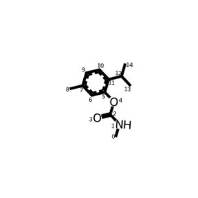 CNC(=O)Oc1cc(C)ccc1C(C)C